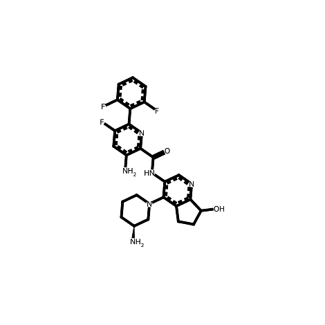 Nc1cc(F)c(-c2c(F)cccc2F)nc1C(=O)Nc1cnc2c(c1N1CCC[C@H](N)C1)CCC2O